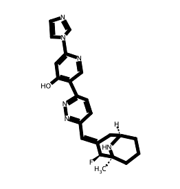 C[C@]12CCC[C@H](C/C(=C\c3ccc(-c4cnc(-n5ccnc5)cc4O)nn3)[C@@H]1F)N2